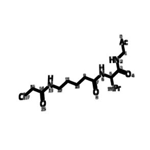 CC(=O)CNC(=O)C(NC(=O)CCCCNC(=O)CCl)C(C)C